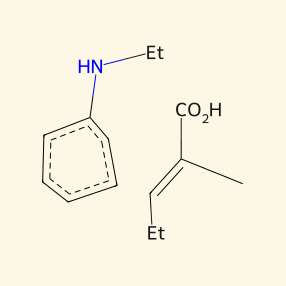 CCC=C(C)C(=O)O.CCNc1ccccc1